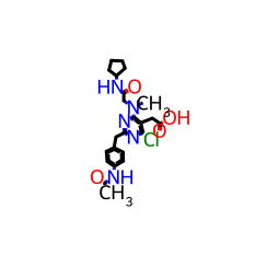 CC(=O)Nc1ccc(Cc2nc(Cl)c(CC(=O)O)c(N(C)CC(=O)NC3CCCC3)n2)cc1